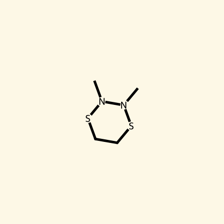 CN1SCCSN1C